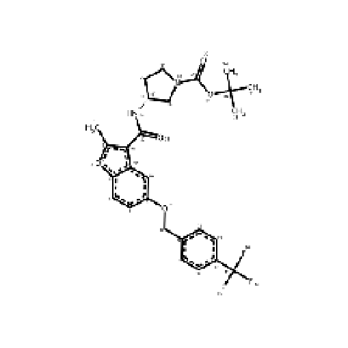 Cc1oc2ccc(OCc3ccc(C(F)(F)F)cc3)cc2c1C(=O)N[C@@H]1CCN(C(=O)OC(C)(C)C)C1